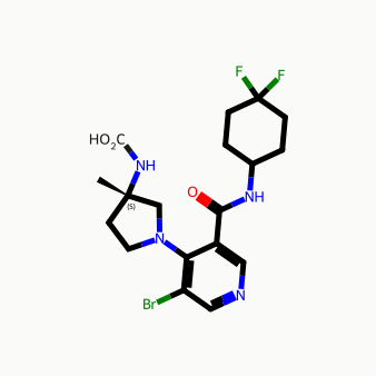 C[C@]1(NC(=O)O)CCN(c2c(Br)cncc2C(=O)NC2CCC(F)(F)CC2)C1